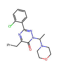 CC(C)Cc1nc(-c2ccccc2Cl)nn(C(C)N2CCOCC2)c1=O